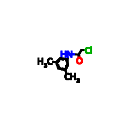 Cc1cc(C)cc(NC(=O)CCl)c1